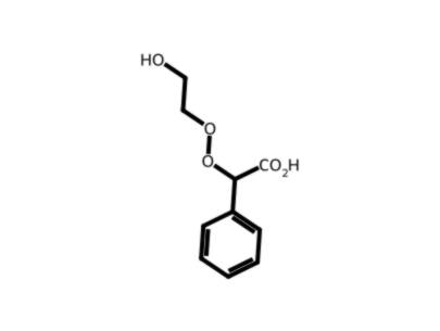 O=C(O)C(OOCCO)c1ccccc1